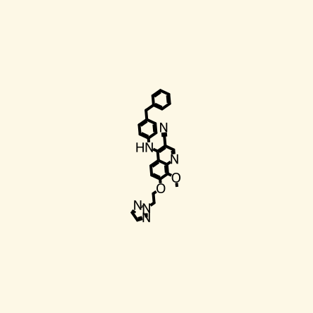 COc1c(OCCn2nccn2)ccc2c(Nc3ccc(Cc4ccccc4)cc3)c(C#N)cnc12